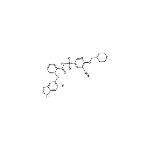 N#Cc1cc(S(=O)(=O)NC(=O)c2ccccc2Oc2cc3cc[nH]c3cc2F)cnc1OCC1CCOCC1